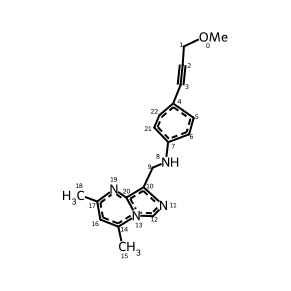 COCC#Cc1ccc(NCc2ncn3c(C)cc(C)nc23)cc1